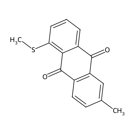 CSc1cccc2c1C(=O)c1ccc(C)cc1C2=O